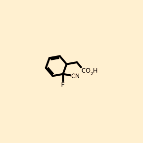 N#CC1(F)C=CC=CC1CC(=O)O